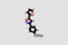 COc1ccc(C2=NOC(c3ccco3)C2)cc1